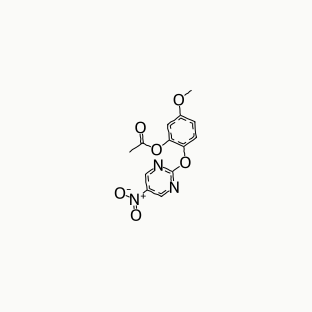 COc1ccc(Oc2ncc([N+](=O)[O-])cn2)c(OC(C)=O)c1